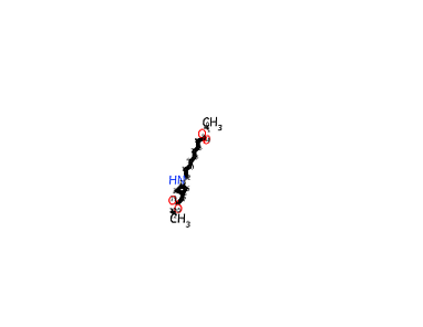 CCOC(=O)CCCCCCCCNC1CC(CC(=O)OCC)C1